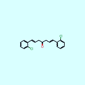 O=C(CC=Cc1ccccc1Cl)CC=Cc1ccccc1Cl